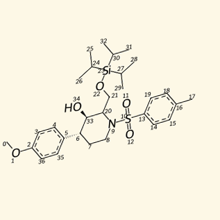 COc1ccc([C@H]2CCN(S(=O)(=O)c3ccc(C)cc3)C(CO[Si](C(C)C)(C(C)C)C(C)C)[C@@H]2O)cc1